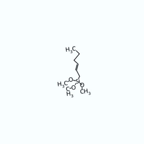 CCCC=CC[Si](OC)(OC)OC